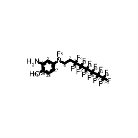 Nc1cc(N(F)CCC(F)(F)C(F)(F)C(F)(F)C(F)(F)C(F)(F)C(F)(F)F)ccc1O